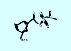 CSc1cccc(C(=O)NS(=O)(=O)N(C)C)c1